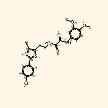 COc1ccc(NC(=O)C(=O)NCCc2sc(-c3ccc(Cl)cc3)nc2C)cc1OC